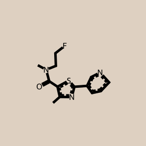 Cc1nc(-c2cccnc2)sc1C(=O)N(C)CCF